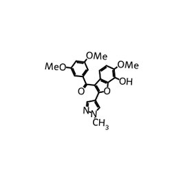 COc1cc(OC)cc(C(=O)c2c(-c3cnn(C)c3)oc3c(O)c(OC)ccc23)c1